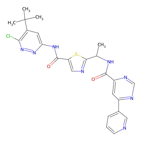 CC(NC(=O)c1cc(-c2cccnc2)ncn1)c1ncc(C(=O)Nc2cc(C(C)(C)C)c(Cl)nn2)s1